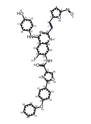 O=Nc1ccc(/C=C/c2nc(Nc3ccc(O)cc3)c3cc(F)c(NC(=O)c4coc(-c5ccc(Oc6ccccc6)cc5)n4)cc3n2)o1